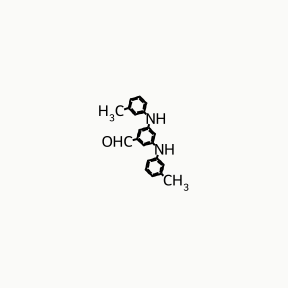 Cc1cccc(Nc2cc(C=O)cc(Nc3cccc(C)c3)c2)c1